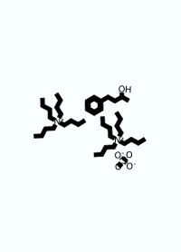 CC(O)CCc1ccccc1.CCCC[N+](CCCC)(CCCC)CCCC.CCCC[N+](CCCC)(CCCC)CCCC.O=S(=O)([O-])[O-]